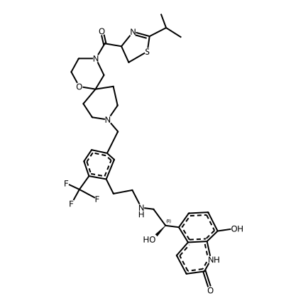 CC(C)C1=NC(C(=O)N2CCOC3(CCN(Cc4ccc(C(F)(F)F)c(CCNC[C@H](O)c5ccc(O)c6[nH]c(=O)ccc56)c4)CC3)C2)CS1